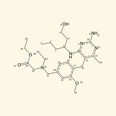 CCCC(CCO)Nc1nc(N)nc(C)c1Cc1ccc(CN(CC)CC(=O)OCC)cc1OC